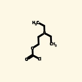 CCN(CC)CCOC(=O)Cl